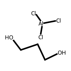 OCCCO.[Cl][Al]([Cl])[Cl]